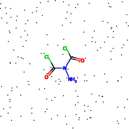 NN(C(=O)Cl)C(=O)Cl